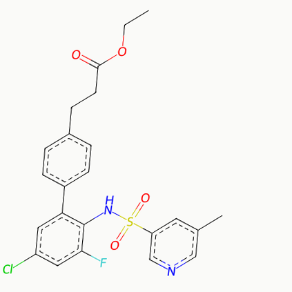 CCOC(=O)CCc1ccc(-c2cc(Cl)cc(F)c2NS(=O)(=O)c2cncc(C)c2)cc1